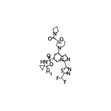 CC1(NS(=O)(=O)c2cc(N3CCO[C@H](C(=O)N4CCC4)C3)c3cnc(-c4nnc(C(F)F)s4)n3c2)CC1